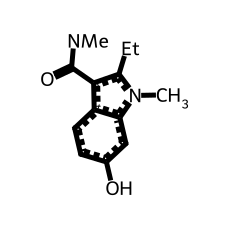 CCc1c(C(=O)NC)c2ccc(O)cc2n1C